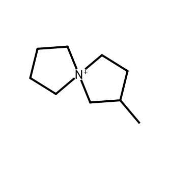 CC1CC[N+]2(CCCC2)C1